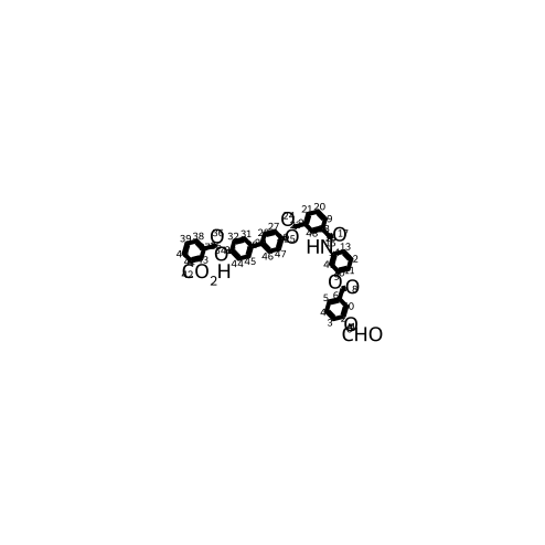 O=COc1cccc(C(=O)Oc2cccc(NC(=O)c3cccc(C(=O)Oc4ccc(-c5ccc(OC(=O)c6cccc(C(=O)O)c6)cc5)cc4)c3)c2)c1